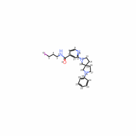 O=C(NCCCI)c1ccnc(N2CCC3(CCN(c4ccccc4)C3)C2)c1